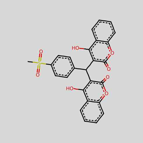 CS(=O)(=O)c1ccc(C(c2c(O)c3ccccc3oc2=O)c2c(O)c3ccccc3oc2=O)cc1